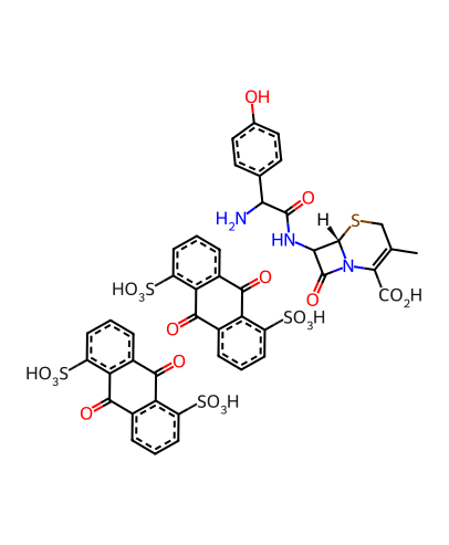 CC1=C(C(=O)O)N2C(=O)C(NC(=O)C(N)c3ccc(O)cc3)[C@@H]2SC1.O=C1c2cccc(S(=O)(=O)O)c2C(=O)c2cccc(S(=O)(=O)O)c21.O=C1c2cccc(S(=O)(=O)O)c2C(=O)c2cccc(S(=O)(=O)O)c21